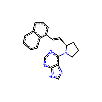 C(=C\[C@H]1CCCN1c1ncnc2[nH]cnc12)/c1cccc2ccccc12